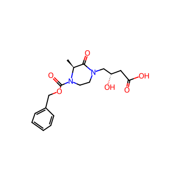 C[C@H]1C(=O)N(C[C@@H](O)CC(=O)O)CCN1C(=O)OCc1ccccc1